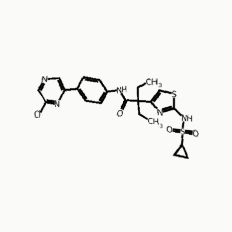 CCC(CC)(C(=O)Nc1ccc(-c2cncc(Cl)n2)cc1)c1csc(NS(=O)(=O)C2CC2)n1